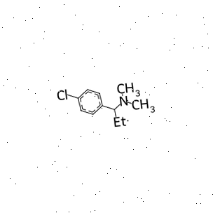 C[CH]C(c1ccc(Cl)cc1)N(C)C